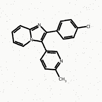 Cc1ccc(-c2c(-c3ccc(Cl)cc3)nc3ccccn23)cn1